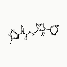 Cc1cc(NC(=O)CSc2nnc(-c3cccnc3)[nH]2)no1